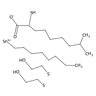 CC(C)CCCCCC(S)C(=O)[O-].CCCCCCC[CH2][Sn+3].OCC[S-].OCC[S-]